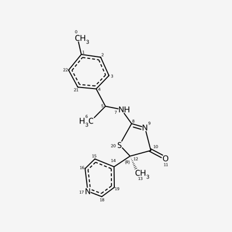 Cc1ccc(C(C)NC2=NC(=O)[C@@](C)(c3ccncc3)S2)cc1